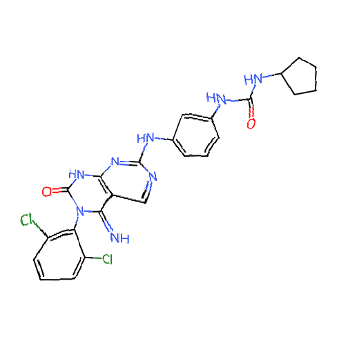 N=c1c2cnc(Nc3cccc(NC(=O)NC4CCCC4)c3)nc2[nH]c(=O)n1-c1c(Cl)cccc1Cl